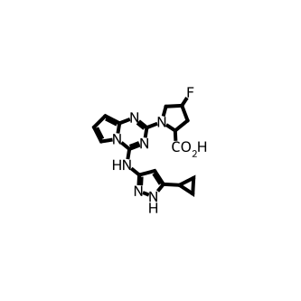 O=C(O)C1CC(F)CN1c1nc(Nc2cc(C3CC3)[nH]n2)n2cccc2n1